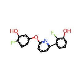 Oc1cc(Oc2cccc(-c3cccc(O)c3F)n2)ccc1F